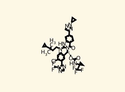 CC(C)(CCNC(=N)N(C(=O)c1ccc(-c2cnn(C3CC3)n2)cc1)[C@H](COC(=O)NC1(C(F)(F)F)CC1)c1ccc(Cl)c(-c2ncnn2C(F)F)c1)C1CC1